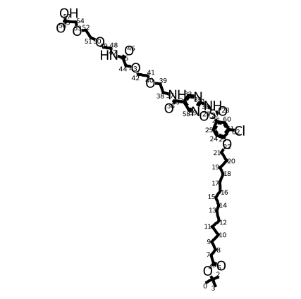 CC(C)(C)OC(=O)CCCCCCCCCCCCCCCOc1ccc(S(=O)(=O)Nc2ncc(C(=O)NCCOCCOCC(=O)NCCOCCOCC(=O)O)cn2)cc1Cl